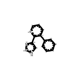 c1ccc(-c2cccnc2-c2c[nH]nn2)cc1